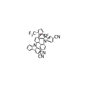 N#Cc1ccc(-n2c3ccccc3c3cc(C#N)ccc32)c(-c2cc(-c3c(C(F)(F)F)cccc3C(F)(F)F)ccc2-n2c3ccccc3c3cc(C#N)ccc32)c1